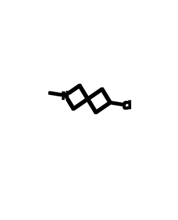 CN1CC2(CC(Cl)C2)C1